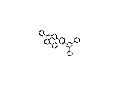 c1ccc(-c2cc(-c3ccc(-c4ccc5nc(-c6ccccn6)c6cccc(-c7ccccc7)c6c5c4)cc3)nc(-c3ccccc3)n2)cc1